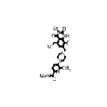 CCn1c(=O)[nH]c2c(F)c(CN3CCN(c4ccc(C(=O)NC)nc4C)CC3)cc(CC#N)c2c1=O